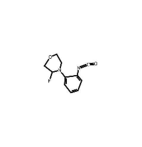 O=C=Nc1ccccc1N1CCOCC1F